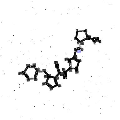 CN1CCC[C@H]1/C=C/c1csc(NC(=O)c2cccn2Cc2ccncc2)n1